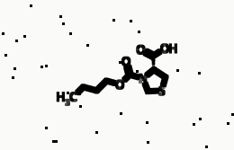 CCCCOC(=O)N1CSC[C@H]1C(=O)O